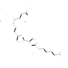 CO/C(=C\C(N)=O)[C@H](C)[C@H](/C=C/c1csc(-c2csc([C@@H](C)/C=C/C=C/C(C)C)n2)n1)OC